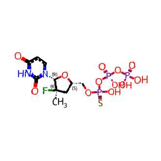 C[C@@]1(F)C[C@@H](COP(O)(=S)OP(=O)(O)OP(=O)(O)O)O[C@H]1n1ccc(=O)[nH]c1=O